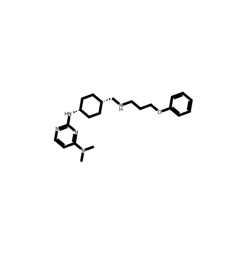 CN(C)c1ccnc(N[C@H]2CC[C@@H](CNCCCOc3ccccc3)CC2)n1